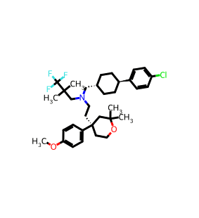 COc1ccc([C@]2(CCN(CC(C)(C)C(F)(F)F)C[C@H]3CC[C@H](c4ccc(Cl)cc4)CC3)CCOC(C)(C)C2)cc1